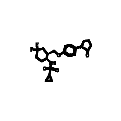 O=C1CCCN1c1ccc(OC[C@@H]2CC(F)(F)CC[C@@H]2NS(=O)(=O)C2CC2)cc1